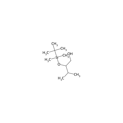 CC(C)C(CO)O[Si](C)(C)C(C)(C)C